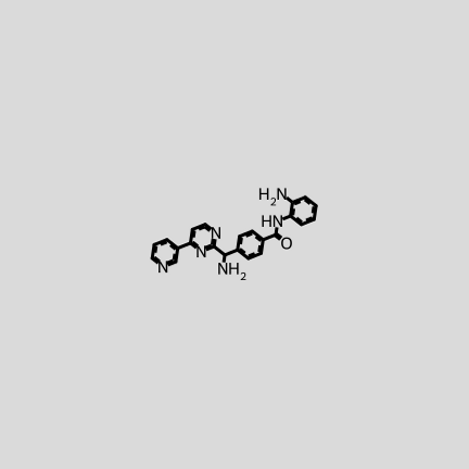 Nc1ccccc1NC(=O)c1ccc(C(N)c2nccc(-c3cccnc3)n2)cc1